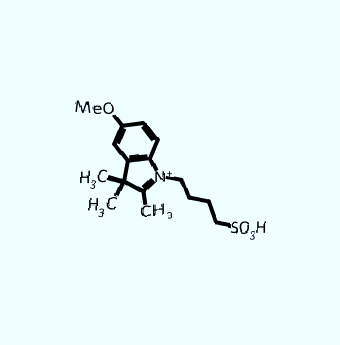 COc1ccc2c(c1)C(C)(C)C(C)=[N+]2CCCCS(=O)(=O)O